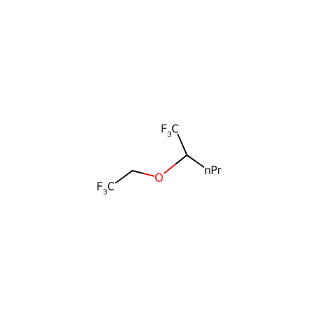 CCCC(OCC(F)(F)F)C(F)(F)F